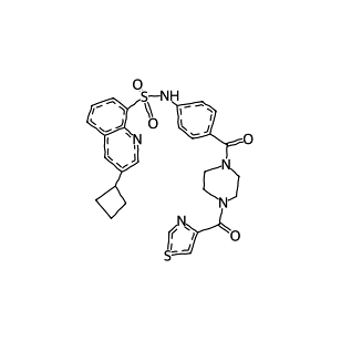 O=C(c1ccc(NS(=O)(=O)c2cccc3cc(C4CCC4)cnc23)cc1)N1CCN(C(=O)c2cscn2)CC1